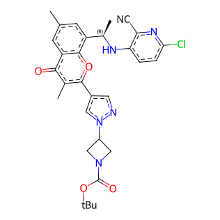 Cc1cc([C@@H](C)Nc2ccc(Cl)nc2C#N)c2oc(-c3cnn(C4CN(C(=O)OC(C)(C)C)C4)c3)c(C)c(=O)c2c1